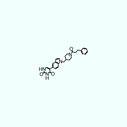 O=C(CCc1ccccc1)N1CCC(Cn2ccc3cc(-c4c[nH]c(=O)[nH]c4=O)ccc32)CC1